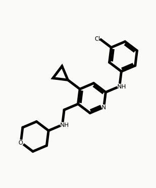 Clc1cccc(Nc2cc(C3CC3)c(CNC3CCOCC3)cn2)c1